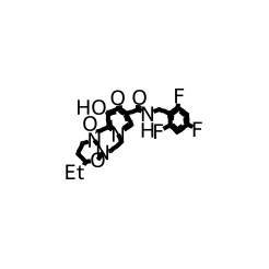 CCC1CCN2C(=O)c3c(O)c(=O)c(C(=O)NCc4c(F)cc(F)cc4F)cn3CCN2O1